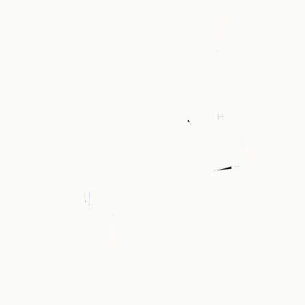 C[C@H](NC(=O)C[C@@H](C)C1CC[C@H]2[C@@H]3C(=O)C[C@@H]4CC(=O)CC[C@]4(C)[C@H]3CC[C@]12C)c1cccs1